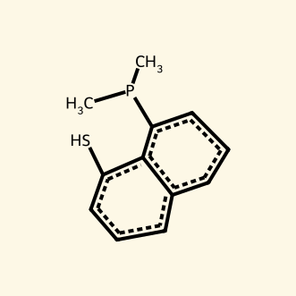 CP(C)c1cccc2cccc(S)c12